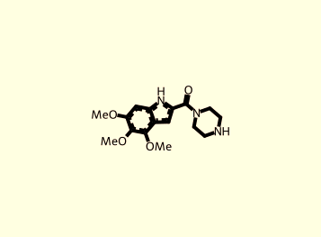 COc1cc2[nH]c(C(=O)N3CCNCC3)cc2c(OC)c1OC